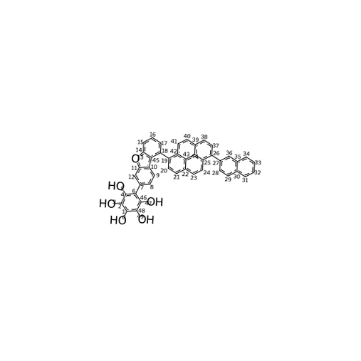 Oc1c(O)c(O)c(-c2ccc3c(c2)oc2cccc(-c4ccc5ccc6c(-c7ccc8ccccc8c7)ccc7ccc4c5c76)c23)c(O)c1O